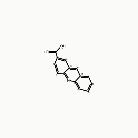 O=C(O)c1ccc2nc3ccccc3cc2c1